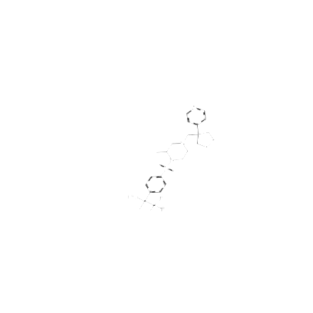 CC1CN(CC2(c3ccncc3)CCCC2)CCN1S(=O)(=O)c1ccc(C(C)(O)C(F)(F)F)cc1